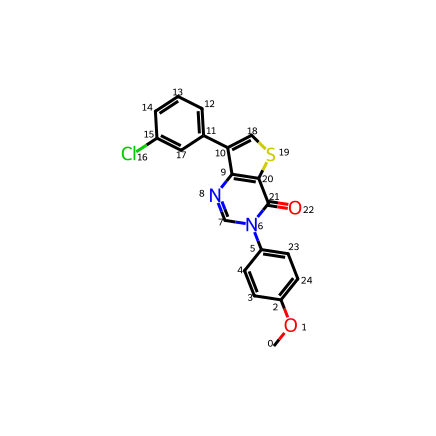 COc1ccc(-n2cnc3c(-c4cccc(Cl)c4)csc3c2=O)cc1